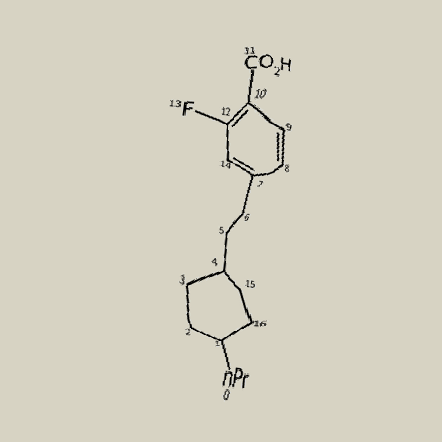 CCCC1CCC(CCc2ccc(C(=O)O)c(F)c2)CC1